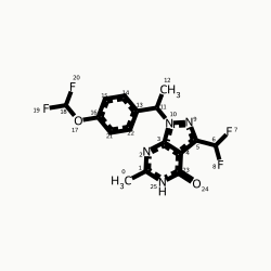 Cc1nc2c(c(C(F)F)nn2C(C)c2ccc(OC(F)F)cc2)c(=O)[nH]1